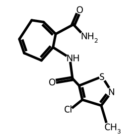 Cc1nsc(C(=O)NC2=CC=CCC=C2C(N)=O)c1Cl